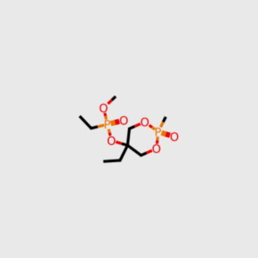 CCC1(OP(=O)(CC)OC)COP(C)(=O)OC1